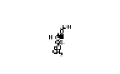 Cc1ccc(OCC(=O)Nc2ccc3nc(N4CCN(CCO)CC4)nc(C)c3c2)c(Cl)c1